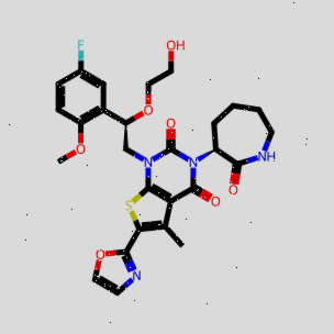 COc1ccc(F)cc1[C@H](Cn1c(=O)n([C@H]2CCCCNC2=O)c(=O)c2c(C)c(-c3ncco3)sc21)OCCO